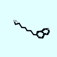 CCCCCCCCc1ccc2ccncc2c1